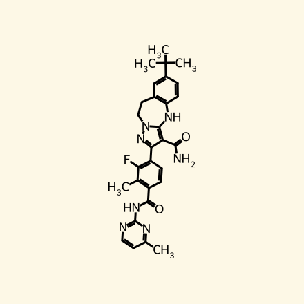 Cc1ccnc(NC(=O)c2ccc(-c3nn4c(c3C(N)=O)Nc3ccc(C(C)(C)C)cc3CC4)c(F)c2C)n1